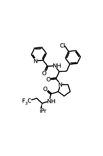 CC(C)[C@@H](CC(F)(F)F)NC(=O)C1CCCN1C(=O)C(Cc1cccc(Cl)c1)NC(=O)c1ccccn1